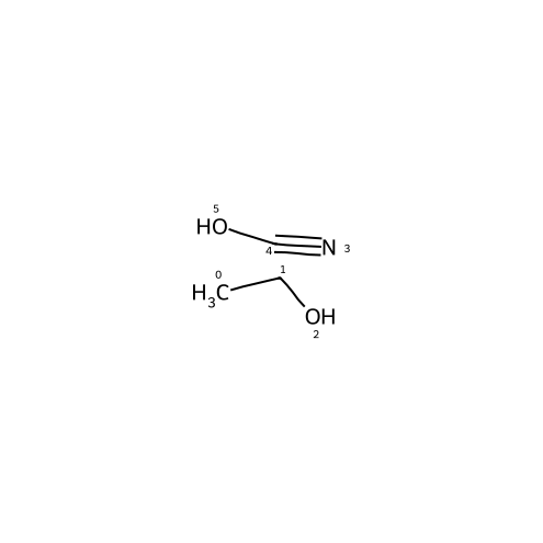 CCO.N#CO